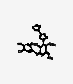 CC(=O)OCC1OC(Sc2ccc(C#N)c(Cl)c2)C(OC(C)=O)C(n2cc(-c3cscn3)nn2)C1OC(C)=O